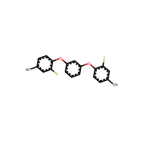 N#Cc1ccc(Oc2cccc(Oc3ccc(C#N)cc3F)c2)c(F)c1